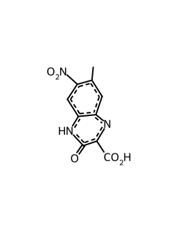 Cc1cc2nc(C(=O)O)c(=O)[nH]c2cc1[N+](=O)[O-]